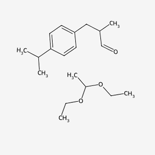 CC(C=O)Cc1ccc(C(C)C)cc1.CCOC(C)OCC